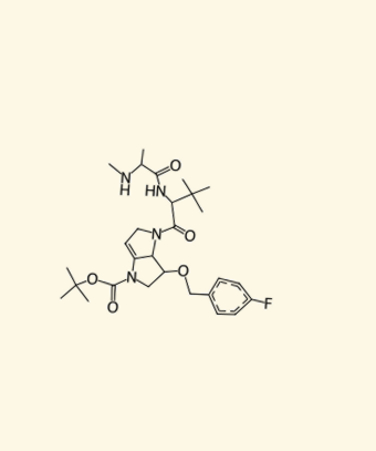 CNC(C)C(=O)NC(C(=O)N1CC=C2C1C(OCc1ccc(F)cc1)CN2C(=O)OC(C)(C)C)C(C)(C)C